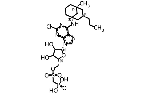 CCC[C@@H]1C[C@]2(C)CCC[C@](Nc3nc(Cl)nc4c3ncn4[C@@H]3O[C@H](COS(=O)(=O)CP(=O)(O)O)C(O)C3O)(C1)C2